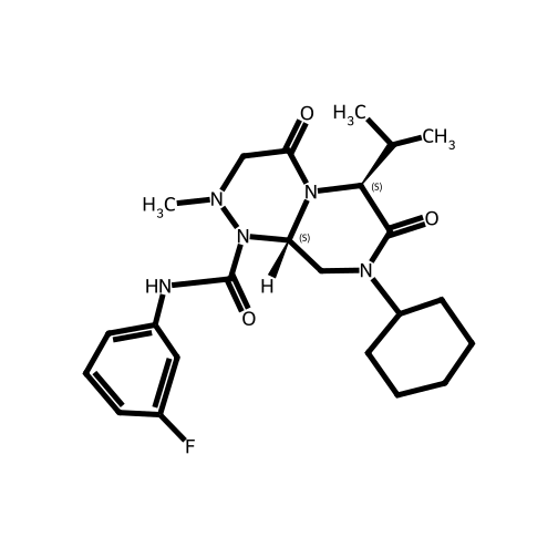 CC(C)[C@H]1C(=O)N(C2CCCCC2)C[C@H]2N1C(=O)CN(C)N2C(=O)Nc1cccc(F)c1